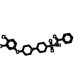 O=C(NS(=O)(=O)C1CCC(N2CCC(Oc3ccc(Cl)c(Cl)c3)CC2)CC1)c1ccccc1